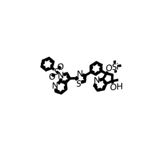 CC1(O)CC(O[Si](C)(C)C)(c2cccc(-c3csc(-c4cn(S(=O)(=O)c5ccccc5)c5ncccc45)n3)c2)c2ncccc21